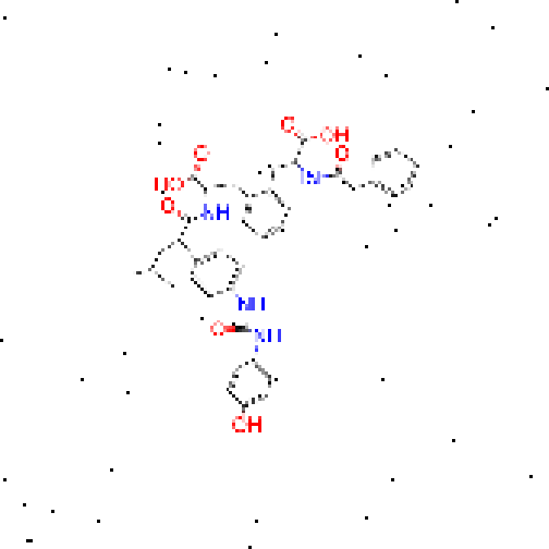 CC(C)CC(C(=O)NC(Cc1ccccc1CC(NC(=O)Cc1ccccc1)C(=O)O)C(=O)O)c1ccc(NC(=O)Nc2ccc(O)cc2)cc1